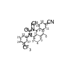 CC=C1CCCC2=C1C(c1ccc(C#N)cc1Cl)NC(=O)N2c1cccc(C(F)(F)F)c1